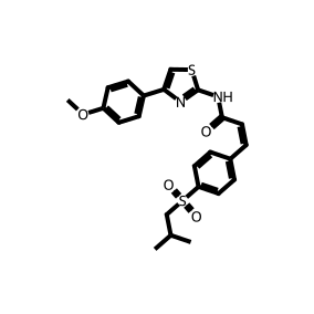 COc1ccc(-c2csc(NC(=O)/C=C\c3ccc(S(=O)(=O)CC(C)C)cc3)n2)cc1